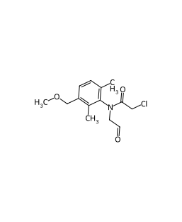 COCc1ccc(C)c(N(CC=O)C(=O)CCl)c1C